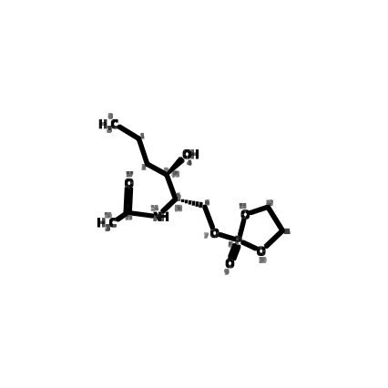 CCC[C@@H](O)[C@H](COP1(=O)OCCO1)NC(C)=O